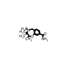 CC1Oc2cc(C(N)=O)ccc2CN(C)C1(C)C